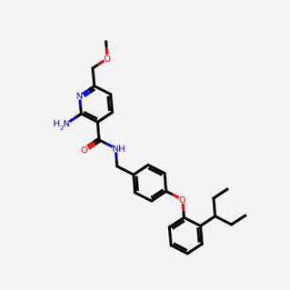 CCC(CC)c1ccccc1Oc1ccc(CNC(=O)c2ccc(COC)nc2N)cc1